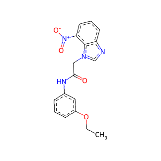 CCOc1cccc(NC(=O)Cn2cnc3cccc([N+](=O)[O-])c32)c1